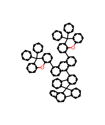 c1ccc(C2(c3ccccc3)c3ccccc3Oc3c(-c4cccc5c(-c6cccc7c6-c6ccccc6C76c7ccccc7-c7ccc8ccccc8c76)c6cccc(-c7cccc8c7Oc7ccccc7C8(c7ccccc7)c7ccccc7)c6cc45)cccc32)cc1